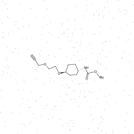 C#CCOCCO[C@H]1CC[C@H](NC(=O)OC(C)(C)C)CC1